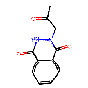 CC(=O)Cn1[nH]c(=O)c2ccccc2c1=O